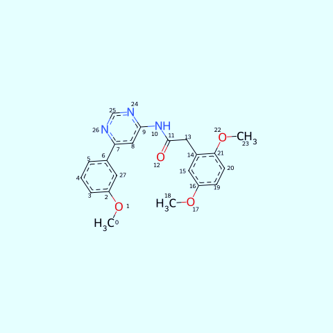 COc1cccc(-c2cc(NC(=O)Cc3cc(OC)ccc3OC)ncn2)c1